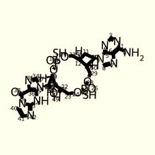 Nc1ncnc2c1ncn2[C@@H]1C[C@@H]2CO[P@@](=O)(S)O[C@@H]3[C@H](F)[C@@H](CO[P@@](=O)(S)OC[C@H]21)O[C@H]3n1cnc2c(=O)n3ccnc3[nH]c21